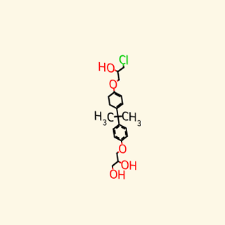 CC(C)(C1=CC=C(OCC(O)CCl)CC1)c1ccc(OCC(O)CO)cc1